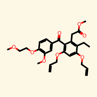 C=CCOc1cc(OCC=C)c(C(=O)c2ccc(OCCOC)c(OC)c2)c(CC(=O)OC)c1CC